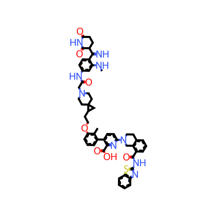 CNc1cc(NC(=O)CN2CCC3(CC2)CC3CCOc2cccc(-c3ccc(N4CCc5cccc(C(=O)Nc6nc7ccccc7s6)c5C4)nc3C(=O)O)c2C)ccc1C(=N)C1CCC(=O)NC1=O